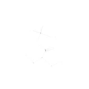 CCC(C[O])C(=O)OC(C)(C)C